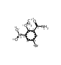 COc1c(C(N)=O)cc(Br)cc1[N+](=O)[O-]